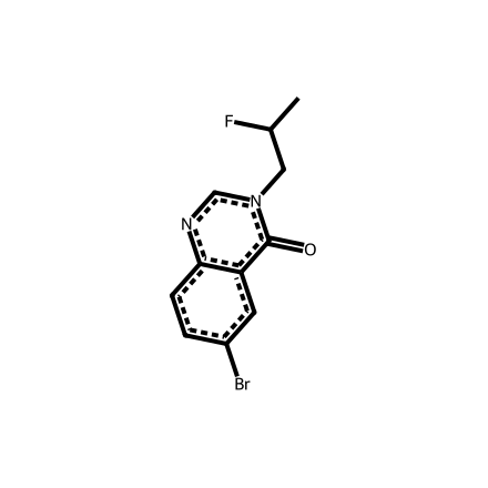 CC(F)Cn1cnc2ccc(Br)cc2c1=O